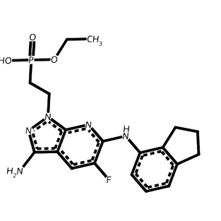 CCOP(=O)(O)CCn1nc(N)c2cc(F)c(Nc3cccc4c3CCC4)nc21